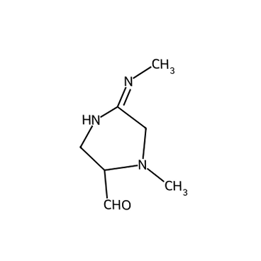 CN=C1CN(C)C(C=O)CN1